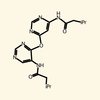 CC(C)CC(=O)Nc1cc(Oc2ncncc2NC(=O)CC(C)C)ncn1